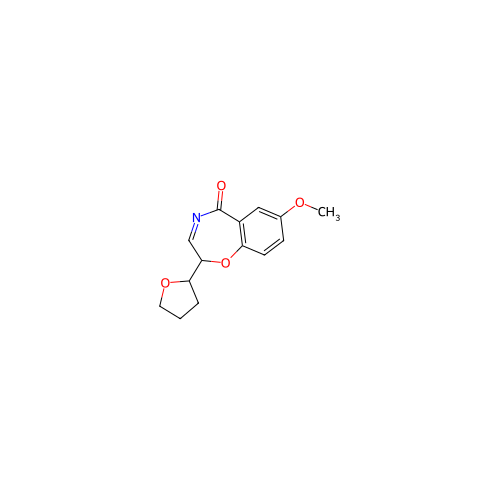 COc1ccc2c(c1)C(=O)N=CC(C1CCCO1)O2